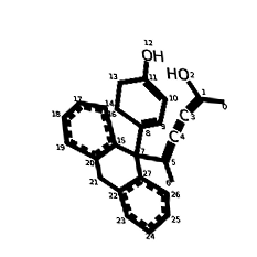 CC(O)=C=C=C(C)C1(C2=CC=C(O)CC2)c2ccccc2Cc2ccccc21